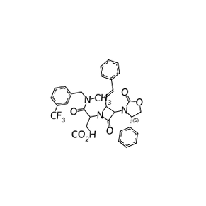 CN(Cc1cccc(C(F)(F)F)c1)C(=O)C(CC(=O)O)N1C(=O)C(N2C(=O)OC[C@@H]2c2ccccc2)C1C=Cc1ccccc1